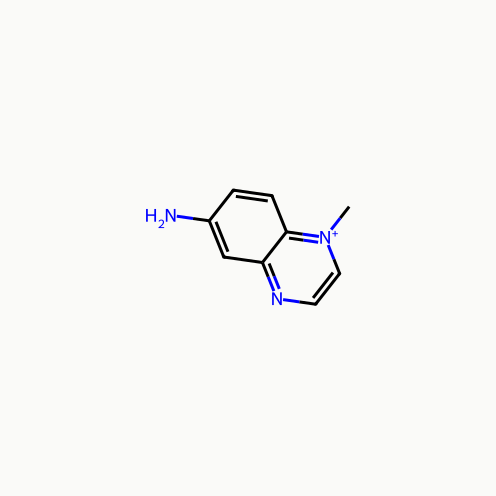 C[n+]1ccnc2cc(N)ccc21